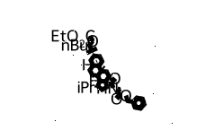 CCCC[C@@H](OC(=O)OCC)C(C)(C)[C@@H]1CC[C@]2(C)[C@H](CCC3[C@@H]4[C@H](C(C)C)CC[C@]4(C(=O)NCC(=O)OCc4ccccc4)CC[C@]32C)C1